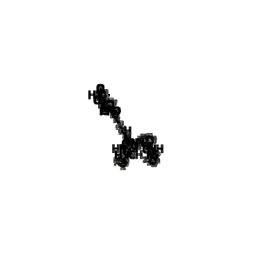 C/C(NCC12CC3CC(CC(C3)C1)C2)=C(/C=N)c1ccc(N2CCc3cccc(C(=O)Nc4nc5ccccc5s4)c3C2)nc1C(=O)NCCCCCCCCCC(=O)Nc1cccc2c(C3CCC(=O)NC3=O)nn(C)c12